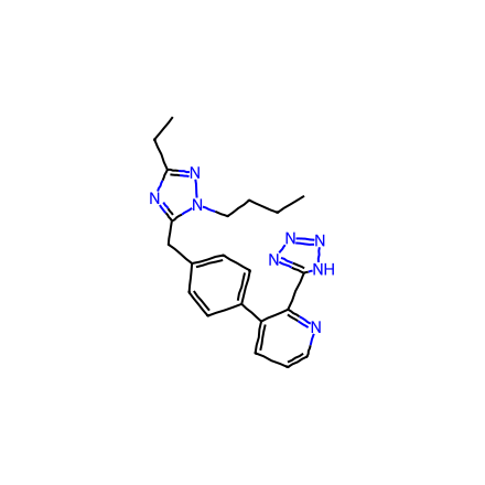 CCCCn1nc(CC)nc1Cc1ccc(-c2cccnc2-c2nnn[nH]2)cc1